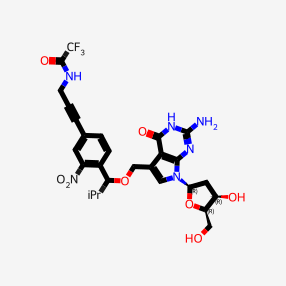 CC(C)C(OCc1cn([C@H]2C[C@@H](O)[C@@H](CO)O2)c2nc(N)[nH]c(=O)c12)c1ccc(C#CCNC(=O)C(F)(F)F)cc1[N+](=O)[O-]